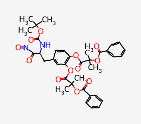 CC(C)(C)OC(=O)N[C@@H](Cc1ccc(OC(=O)C(C)(C)OC(=O)c2ccccc2)c(OC(=O)C(C)(C)OC(=O)c2ccccc2)c1)C(=O)N=O